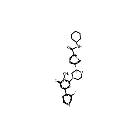 Cn1c(N2CCO[C@@H](c3ccc(C(=O)NC4CCCCC4)cc3)C2)nc(-c2ccncc2F)cc1=O